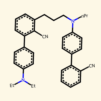 CCCN(CCCc1cccc(-c2ccc(N(CC)CC)cc2)c1C#N)c1ccc(-c2ccccc2C#N)cc1